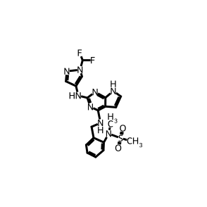 CN(c1ccccc1CNc1nc(Nc2cnn(C(F)F)c2)nc2[nH]ccc12)S(C)(=O)=O